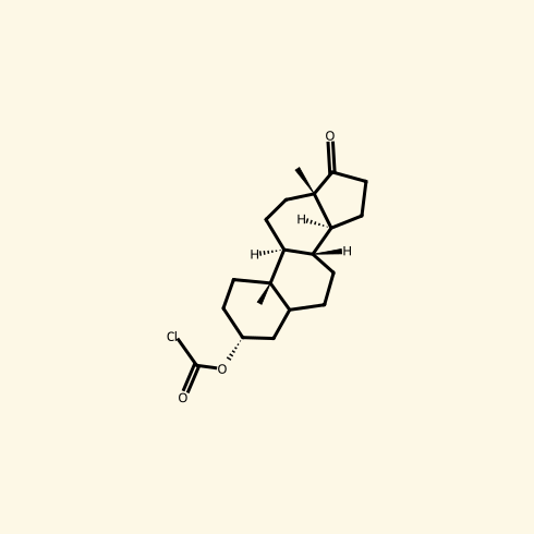 C[C@]12CC[C@@H](OC(=O)Cl)CC1CC[C@@H]1[C@@H]2CC[C@]2(C)C(=O)CC[C@@H]12